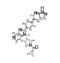 O=C(C1CC1)N1CC[C@H](Cn2c(-c3ccc(-c4cnc5[nH]ncc5c4)cc3)nc3cnccc32)C1